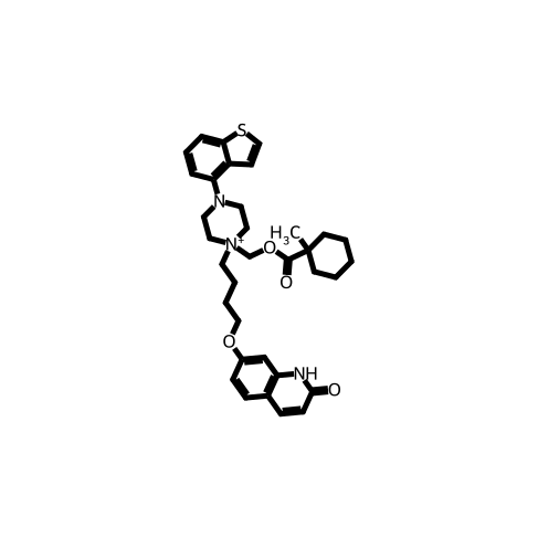 CC1(C(=O)OC[N+]2(CCCCOc3ccc4ccc(=O)[nH]c4c3)CCN(c3cccc4sccc34)CC2)CCCCC1